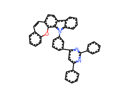 C1=Cc2ccc3c4ccccc4n(-c4cccc(-c5cc(-c6ccccc6)nc(-c6ccccc6)n5)c4)c3c2Oc2ccccc21